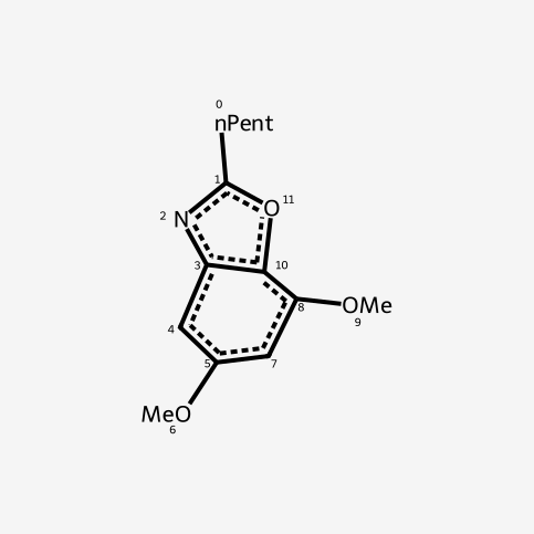 CCCCCc1nc2cc(OC)cc(OC)c2o1